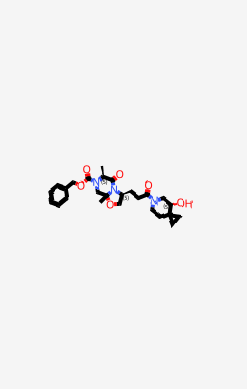 C[C@H]1C(=O)N2[C@@H](CCC(=O)N3CCC4(CC4)[C@H](O)C3)COC2(C)CN1C(=O)OCc1ccccc1